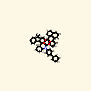 CC1(C)c2ccccc2-c2c(-c3ccccc3N(c3ccc(-c4ccccc4)cc3)c3ccc(-c4cccc5cccc(-c6ccccc6)c45)cc3)cccc21